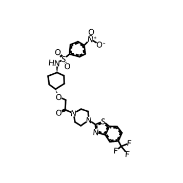 O=C(CO[C@H]1CC[C@H](NS(=O)(=O)c2ccc([N+](=O)[O-])cc2)CC1)N1CCN(c2nc3cc(C(F)(F)F)ccc3s2)CC1